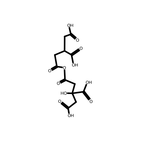 O=C(O)CC(CC(=O)OC(=O)CC(O)(CC(=O)O)C(=O)O)C(=O)O